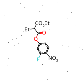 CCOC(=O)C(CC)C(=O)Oc1ccc([N+](=O)[O-])c(F)c1